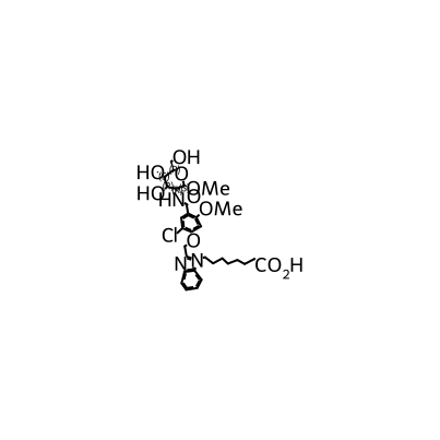 COc1cc(OCc2nc3ccccc3n2CCCCCCCC(=O)O)c(Cl)cc1C(=O)N[C@H]1[C@@H](OC)O[C@H](CO)[C@@H](O)[C@@H]1O